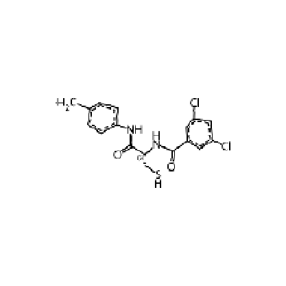 [CH2]c1ccc(NC(=O)[C@@H](CS)NC(=O)c2cc(Cl)cc(Cl)c2)cc1